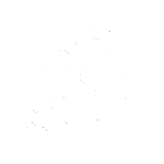 CCCC(CCC(F)(F)F)n1c2cc(C(C)(C)O)cnc2c2c(Cl)cc(-c3c(C)nnn3C)cc21